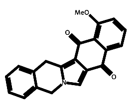 COc1cccc2c1C(=O)c1c(cn3c1Cc1ccccc1C3)C2=O